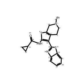 CC(C)N1CCc2c(sc(NC(=O)C3CC3)c2-c2nc3ccccc3s2)C1